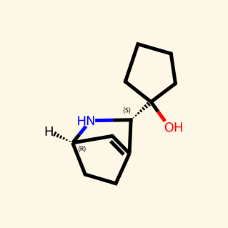 OC1([C@H]2N[C@H]3C=C2CC3)CCCC1